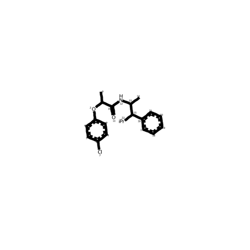 CC(Oc1ccc(Cl)cc1)C(=O)NC(C)C(c1ccccc1)C(C)C